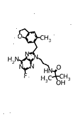 Cc1cc2c(cc1Cc1nc3c(N)nc(F)nc3n1CCCNC(=O)C(C)(C)O)OCC2